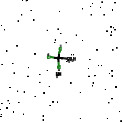 O=C(O)C(Cl)(Cl)Cl.[LiH]